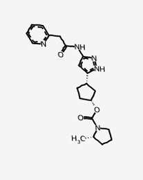 C[C@H]1CCCN1C(=O)O[C@@H]1CC[C@H](c2cc(NC(=O)Cc3ccccn3)n[nH]2)C1